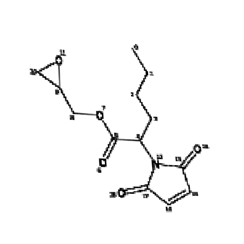 CCCCC(C(=O)OCC1CO1)N1C(=O)C=CC1=O